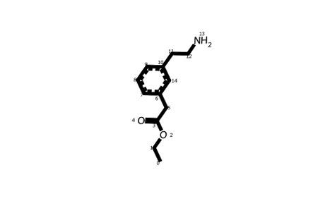 CCOC(=O)Cc1cccc(CCN)c1